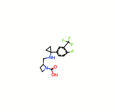 O=C(O)N1CC[C@H]1CNC1(c2ccc(F)c(C(F)(F)F)c2)CC1